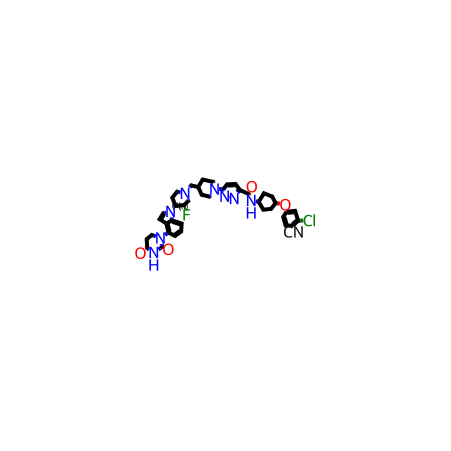 N#Cc1ccc(OC2CCC(NC(=O)c3ccc(N4CCC(CN5CC[C@@H](n6ccc7c(N8CCC(=O)NC8=O)cccc76)[C@H](F)C5)CC4)nn3)CC2)cc1Cl